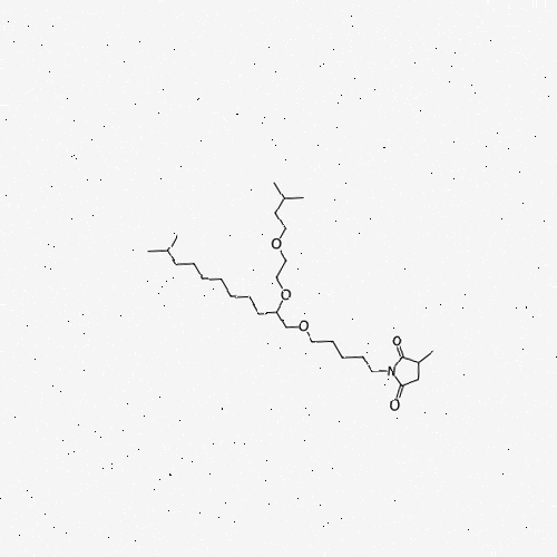 CC(C)CCCCCCCC(COCCCCCN1C(=O)CC(C)C1=O)OCCOCCC(C)C